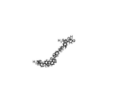 Cn1nc(N2CCC(=O)NC2=O)c2cc(F)c(N3CC4(CC(N5CCC6(CC5)C[C@@H](n5cnc7ccc(Oc8c(F)ccc(C9CC(S(N)(=O)=O)CCO9)c8C#N)cc7c5=O)CO6)C4)C3)cc21